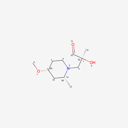 CO[C@@H]1CCN(C[C@](C)(O)C=O)[C@H](C)C1